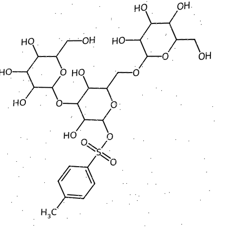 Cc1ccc(S(=O)(=O)OC2OC(COC3OC(CO)C(O)C(O)C3O)C(O)C(OC3OC(CO)C(O)C(O)C3O)C2O)cc1